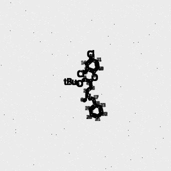 CN(CCC(COC(C)(C)C)Oc1ccc(Cl)cc1Cl)Cc1ccccc1